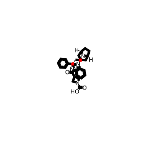 O=C(N[C@@H](CCN1[C@@H]2CC[C@H]1C[C@@H](n1cnc3ccccc31)C2)c1ccccc1)C1CN(C(=O)O)C1